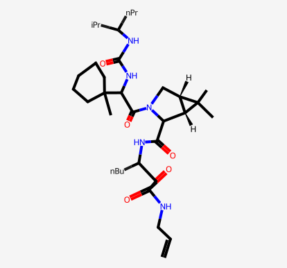 C=CCNC(=O)C(=O)C(CCCC)NC(=O)C1[C@@H]2[C@H](CN1C(=O)C(NC(=O)NC(CCC)C(C)C)C1(C)CCCCC1)C2(C)C